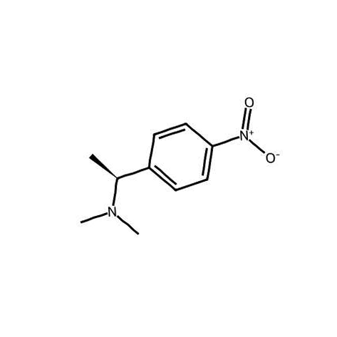 C[C@@H](c1ccc([N+](=O)[O-])cc1)N(C)C